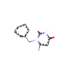 CCn1c(=O)cc(Cl)n(Cc2ccccc2)c1=O